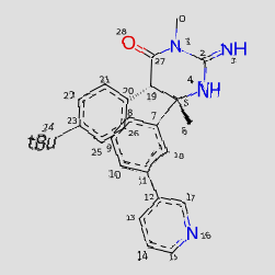 CN1C(=N)N[C@](C)(c2cccc(-c3cccnc3)c2)[C@H](c2ccc(C(C)(C)C)cc2)C1=O